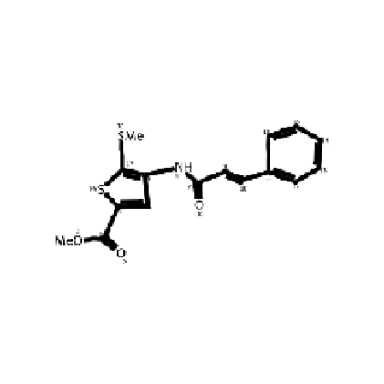 COC(=O)c1cc(NC(=O)C=Cc2ccccc2)c(SC)s1